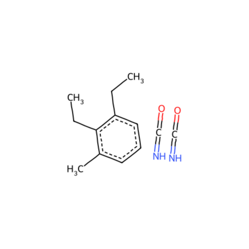 CCc1cccc(C)c1CC.N=C=O.N=C=O